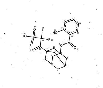 O=C(OC12CC3CC(C1)CC(C(=O)C(F)(F)S(=O)(=O)O)(C3)C2)c1ccccc1O